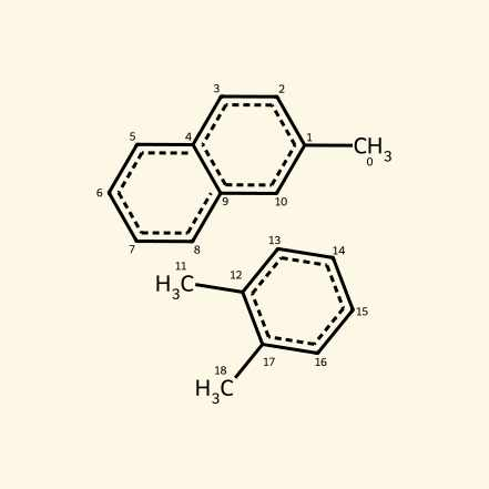 Cc1ccc2ccccc2c1.Cc1ccccc1C